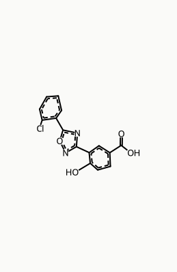 O=C(O)c1ccc(O)c(-c2noc(-c3ccccc3Cl)n2)c1